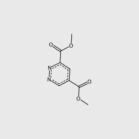 COC(=O)c1cnnc(C(=O)OC)c1